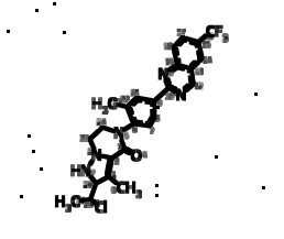 CC1=C2C(=O)N(c3ccc(-c4ncc5cc(C(F)(F)F)ccc5n4)cc3C)CCN2NC1C(C)Cl